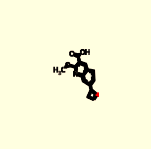 COc1nc2cc(C34CC(C3)C4)ccc2cc1C(=O)O